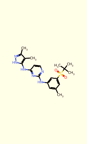 Cc1cc(Nc2nccc(Nc3[nH]nc(C)c3C)n2)cc(S(=O)(=O)C(C)(C)C)c1